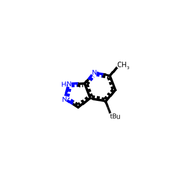 Cc1cc(C(C)(C)C)c2cn[nH]c2n1